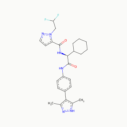 Cc1n[nH]c(C)c1-c1ccc(NC(=O)[C@@H](NC(=O)c2ccnn2CC(F)F)C2CCCCC2)cc1